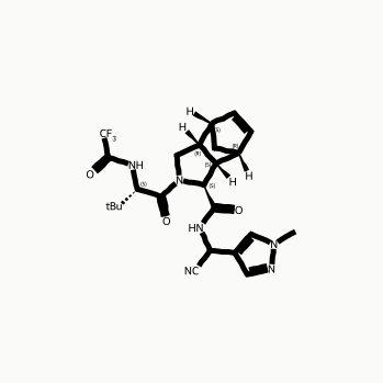 Cn1cc(C(C#N)NC(=O)[C@@H]2[C@@H]3[C@H](CN2C(=O)[C@@H](NC(=O)C(F)(F)F)C(C)(C)C)[C@@H]2C=C[C@H]3C2)cn1